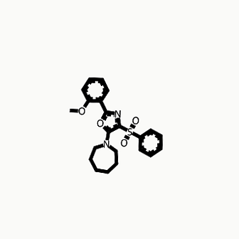 COc1ccccc1-c1nc(S(=O)(=O)c2ccccc2)c(N2CCCCCC2)o1